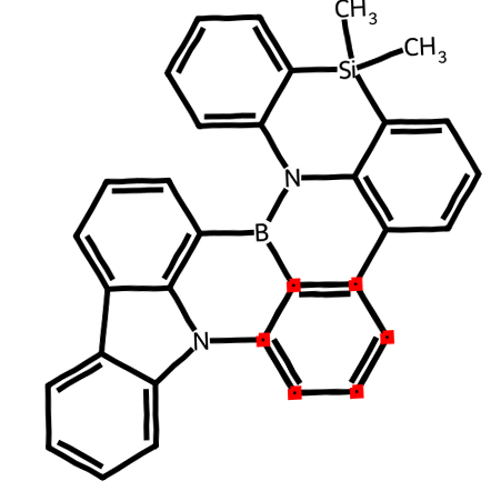 C[Si]1(C)c2ccccc2N(B2c3ccccc3-n3c4ccccc4c4cccc2c43)c2c(-c3ccccc3)cccc21